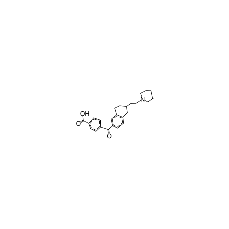 O=C(O)c1ccc(C(=O)c2ccc3c(c2)CCC(CCN2CCCCC2)C3)cc1